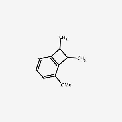 COc1cc[c]c2c1C(C)C2C